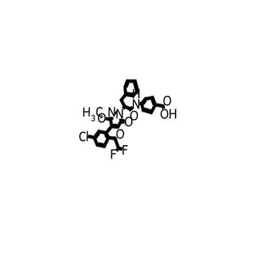 COc1nn(C(Cc2ccccc2)C(=O)Nc2ccc(C(=O)O)cc2)c(=O)cc1-c1cc(Cl)ccc1C(=O)C(F)F